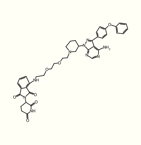 Nc1ncnc2c1c(-c1ccc(Oc3ccccc3)cc1)nn2C1CCCN(CCOCCOCCNc2cccc3c2C(=O)N(C2CCC(=O)NC2=O)C3=O)C1